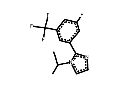 CC(C)n1ccnc1-c1cc(F)cc(C(F)(F)F)c1